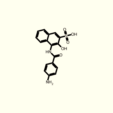 Nc1ccc(C(=O)Nc2c(O)c(S(=O)(=O)O)cc3ccccc23)cc1